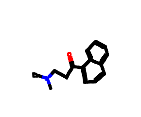 CCN(C)CCC(=O)c1cccc2ccccc12